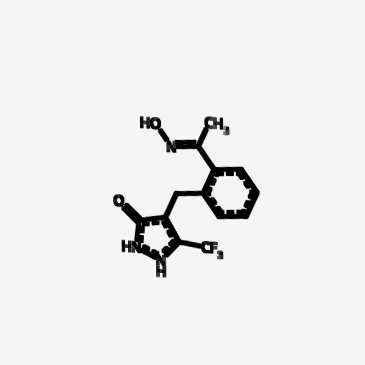 CC(=NO)c1ccccc1Cc1c(C(F)(F)F)[nH][nH]c1=O